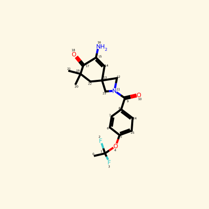 CC(F)(F)Oc1ccc(C(=O)N2CC3(C=C(N)C(=O)C(C)(C)C3)C2)cc1